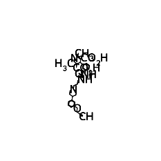 C#CCOc1cccc(C2CCN(CCCNC(=O)Nc3cccc(C4C(C(=O)O)=C(C)N=C(C)C4C(=O)O)c3)CC2)c1